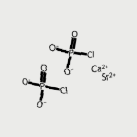 O=P([O-])([O-])Cl.O=P([O-])([O-])Cl.[Ca+2].[Sr+2]